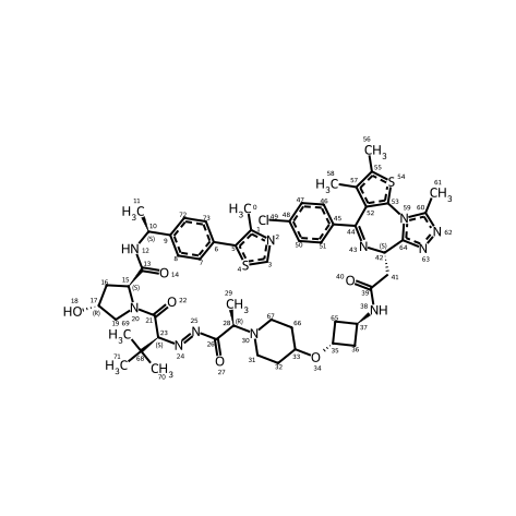 Cc1ncsc1-c1ccc([C@H](C)NC(=O)[C@@H]2C[C@@H](O)CN2C(=O)[C@@H](N=NC(=O)[C@@H](C)N2CCC(O[C@H]3C[C@H](NC(=O)C[C@@H]4N=C(c5ccc(Cl)cc5)c5c(sc(C)c5C)-n5c(C)nnc54)C3)CC2)C(C)(C)C)cc1